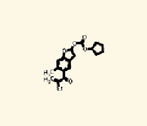 C=C(CC)C(=O)c1cc2c(cc1C)OC(OC(=O)OC1CCCC1)C2